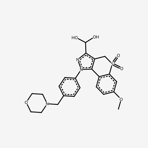 COc1ccc2c(c1)S(=O)(=O)Cc1c(C(O)O)nn(-c3ccc(CN4CCOCC4)cc3)c1-2